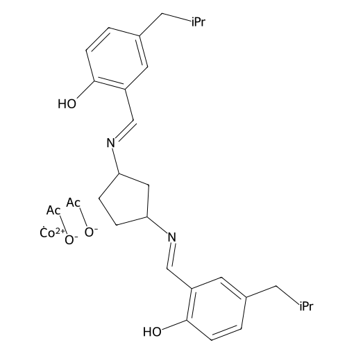 CC(=O)[O-].CC(=O)[O-].CC(C)Cc1ccc(O)c(C=NC2CCC(N=Cc3cc(CC(C)C)ccc3O)C2)c1.[Co+2]